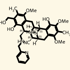 COc1c(C)c(OC)c2c(c1O)[C@H]1[C@@H]3Cc4c(OC)c(C)c(CO)c(O)c4[C@H](CNCc4ccccn4)N3[C@@H](C#N)[C@H](C2)N1C